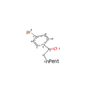 [CH2]CCCCCC(=O)c1ccc(Br)cc1